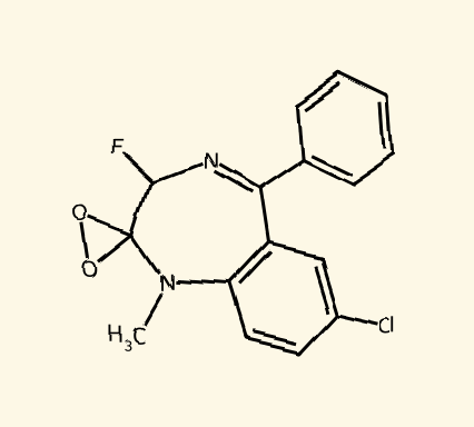 CN1c2ccc(Cl)cc2C(c2ccccc2)=NC(F)C12OO2